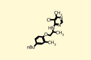 CCCCc1ccc(OCC(C)Nc2ncnc(C)c2Cl)c(C)c1